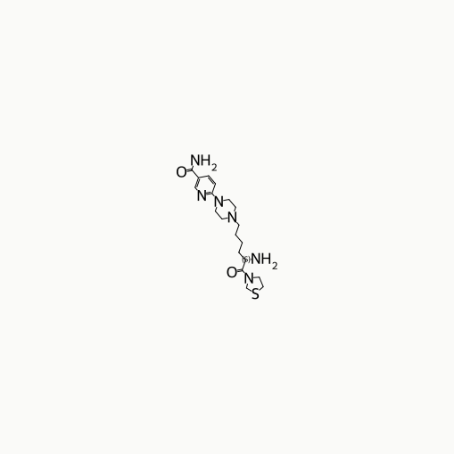 NC(=O)c1ccc(N2CCN(CCCC[C@H](N)C(=O)N3CCSC3)CC2)nc1